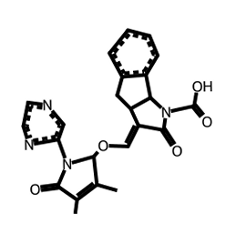 CC1=C(C)C(OC=C2C(=O)N(C(=O)O)C3c4ccccc4CC23)N(c2cnccn2)C1=O